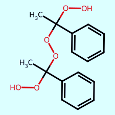 CC(OO)(OOC(C)(OO)c1ccccc1)c1ccccc1